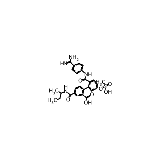 CCC(C)NC(=O)c1ccc(-c2ccccc2C(=O)Nc2ccc(C(=N)N)cc2)c(C(=O)O)c1.CS(=O)(=O)O